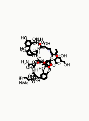 C\C=C(C)/C1=C\C=C\[C@@H](O)[C@@H]2NC(=O)[C@H](NC(=O)[C@@H]3NC(=O)[C@H](CC(N)=O)NC(=O)[C@H](NC(=O)[C@H](CC(C)C)NC)[C@H](O)c4ccc(c(C)c4)Oc4cc3cc(c4OC3OC(CO)C(O)C(O)C3OC3CC(C)(N)C(O)C(C)O3)O1)c1ccc(O)c(c1)-c1c(O)cc(O)cc1[C@@H](C(=O)O)NC2=O